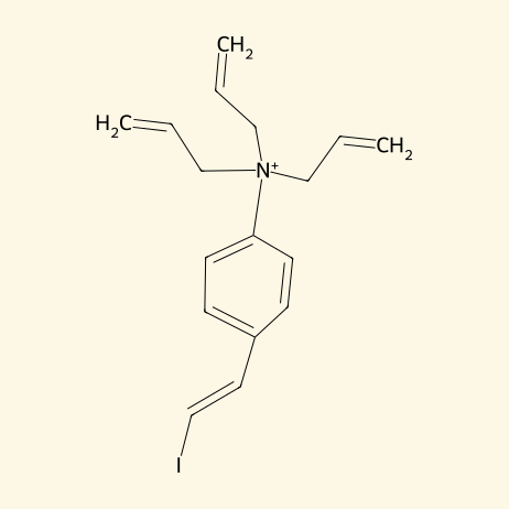 C=CC[N+](CC=C)(CC=C)c1ccc(C=CI)cc1